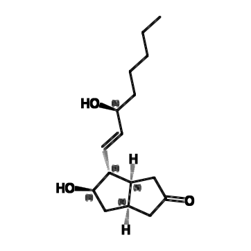 CCCCC[C@H](O)C=C[C@@H]1[C@H]2CC(=O)C[C@H]2C[C@H]1O